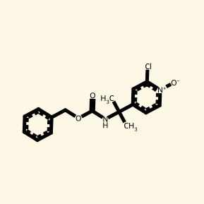 CC(C)(NC(=O)OCc1ccccc1)c1cc[n+]([O-])c(Cl)c1